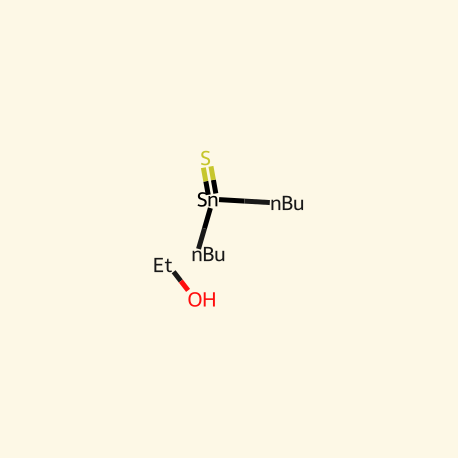 CCC[CH2][Sn](=[S])[CH2]CCC.CCO